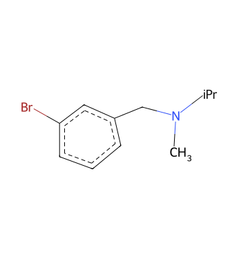 CC(C)N(C)Cc1cccc(Br)c1